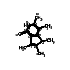 CC1=C(C)C(C)c2c(C)c(C)[nH]c(=O)c21